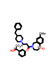 COc1ccc2c(c1)CN(C(=O)CCN1CCC(Cc3ccccc3)CC1)CC[S@@+]2[O-].O=C(O)[C@H](O)c1ccccc1